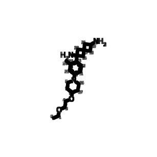 CCOCCOC1CCN(c2ccc(C3(N)CC4(CC(N)C4)C3)c(C)c2)CC1